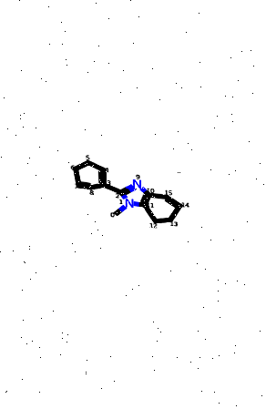 Cn1c(C2=CCCC=C2)nc2c1CCC=C2